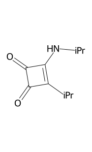 CC(C)Nc1c(C(C)C)c(=O)c1=O